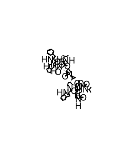 CC(C)NC(=O)C(=O)[C@H](C[C@@H]1CCN(C2CC2[C@H]2CCN(C(=O)c3cc4ccccc4[nH]3)[C@@H]2C(=O)N[C@@H](C[C@@H]2CCNC2=O)C(=O)C(=O)NC(C)C)C1=O)NC(=O)[C@@H]1[C@H]2CCC[C@H]2CN1C(=O)c1cc2ccccc2[nH]1